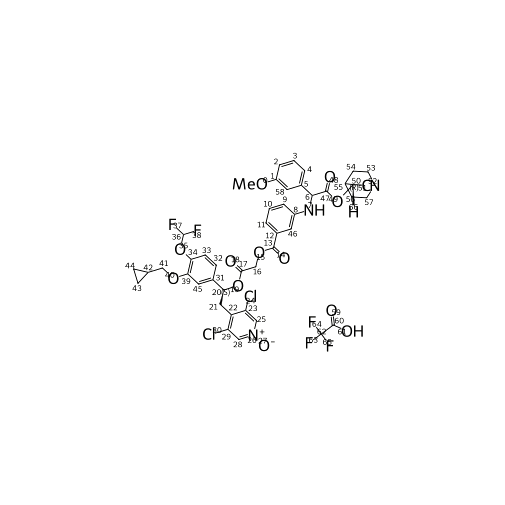 COc1cccc(C(Nc2cccc(C(=O)OCC(=O)O[C@@H](Cc3c(Cl)c[n+]([O-])cc3Cl)c3ccc(OC(F)F)c(OCC4CC4)c3)c2)C(=O)O[C@H]2CN3CCC2CC3)c1.O=C(O)C(F)(F)F